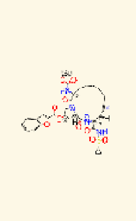 CC(C)(C)OC(=O)N[C@H]1CCCCC/C=C\[C@@H]2C[C@@]2(C(=O)NS(=O)(=O)C2CC2)NC(=O)[C@@H]2C[C@@H](OC(=O)c3cc4ccccc4o3)CN2C1=O